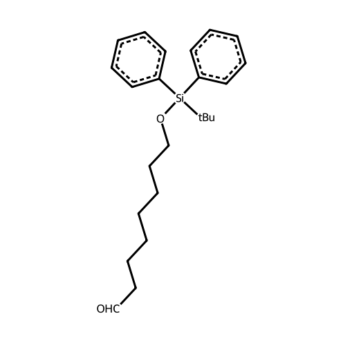 CC(C)(C)[Si](OCCCCCCCC=O)(c1ccccc1)c1ccccc1